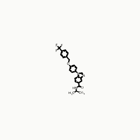 CC(C)NC(=O)c1ccc2c(c1)ncn2-c1ccc(OCc2ccc(C(F)(F)F)cc2)cc1